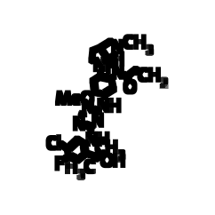 C=CC(=O)Nc1cc(Nc2ncnc(Nc3cc(Cl)c(F)cc3C(C)(C)O)n2)c(OC)cc1N1CCC2CN(C)C[C@@H]21